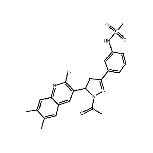 CC(=O)N1N=C(c2cccc(NS(C)(=O)=O)c2)CC1c1cc2cc(C)c(C)cc2nc1Cl